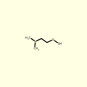 CN(C)CCOS